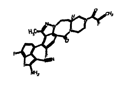 C=C(F)C(=O)N1CCN2C(=O)c3cc(F)c(-c4ccc(F)c5sc(N)c(C#N)c45)c4c(C)nn(c34)CC[C@H]2C1